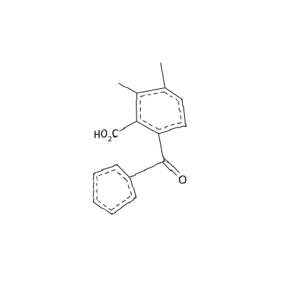 Cc1ccc(C(=O)c2ccccc2)c(C(=O)O)c1C